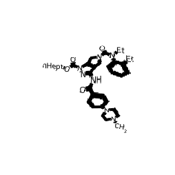 CCCCCCCOC(=O)n1nc(NC(=O)c2ccc(N3CCN(C)CC3)cc2)c2c1CN(C(=O)N(CC)c1ccccc1CC)C2